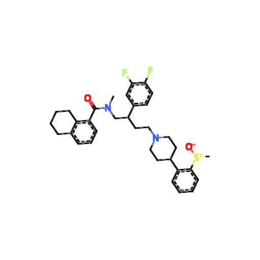 CN(CC(CCN1CCC(c2ccccc2[S+](C)[O-])CC1)c1ccc(F)c(F)c1)C(=O)c1cccc2c1CCCC2